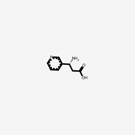 N[C@H](CC(=O)O)c1cccnc1